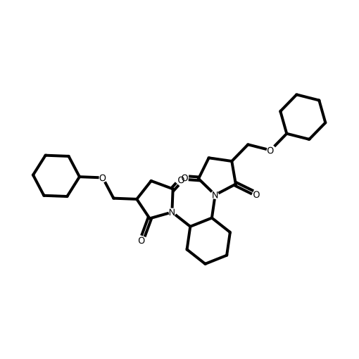 O=C1CC(COC2CCCCC2)C(=O)N1C1CCCCC1N1C(=O)CC(COC2CCCCC2)C1=O